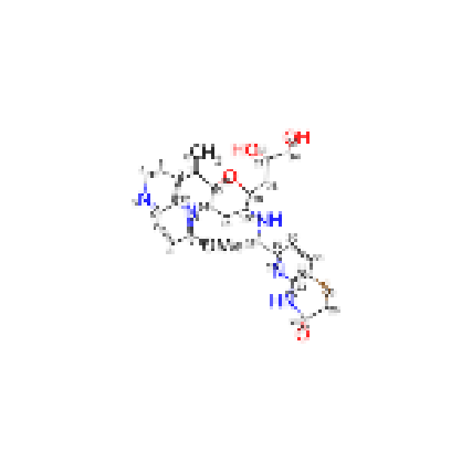 C=C(c1ccnc2ccc(OC)nc12)C1CCC(NCc2ccc3c(n2)NC(=O)CS3)C(C[C@H](O)CO)O1